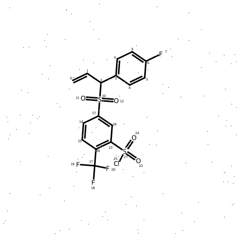 C=CC(c1ccc(F)cc1)S(=O)(=O)c1ccc(C(F)(F)F)c(S(=O)(=O)Cl)c1